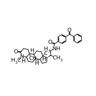 CC(CNC(=O)c1ccc(C(=O)c2ccccc2)cc1)[C@H]1CC[C@H]2[C@@H]3CC[C@H]4N(C)C(=O)CC[C@]4(C)[C@H]3CC[C@]12C